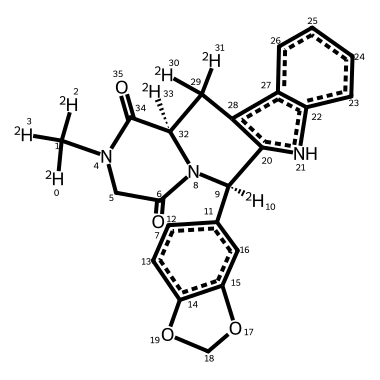 [2H]C([2H])([2H])N1CC(=O)N2[C@]([2H])(c3ccc4c(c3)OCO4)c3[nH]c4ccccc4c3C([2H])([2H])[C@]2([2H])C1=O